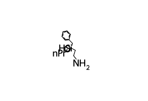 CCCO[SiH](CCCN)Cc1ccccc1